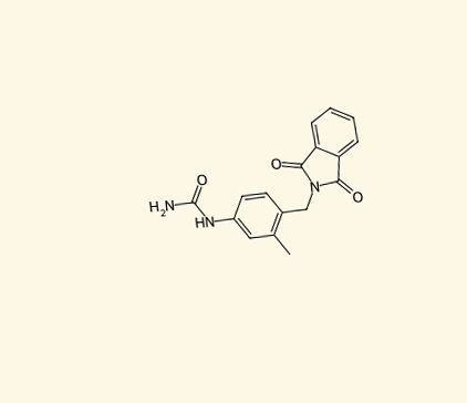 Cc1cc(NC(N)=O)ccc1CN1C(=O)c2ccccc2C1=O